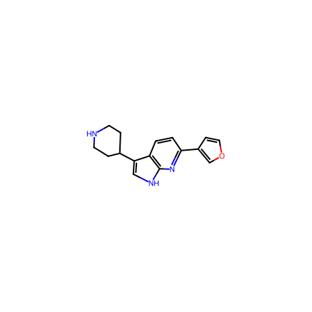 c1cc(-c2ccc3c(C4CCNCC4)c[nH]c3n2)co1